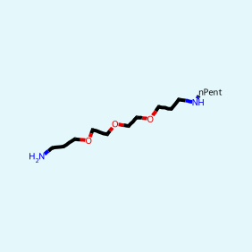 CCCCCNCCCOCCOCCOCCCN